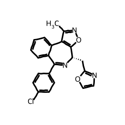 Cc1noc2c1-c1ccccc1C(c1ccc(Cl)cc1)=N[C@H]2Cc1ncco1